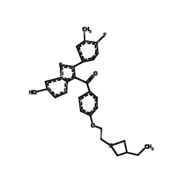 CCC1CN(CCOc2ccc(C(=O)c3c(-c4ccc(F)c(C)c4)sc4cc(O)ccc34)cc2)C1